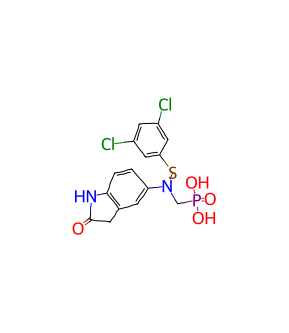 O=C1Cc2cc(N(CP(=O)(O)O)Sc3cc(Cl)cc(Cl)c3)ccc2N1